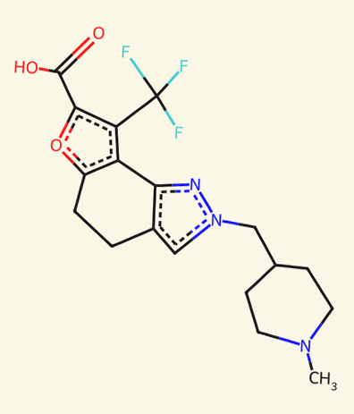 CN1CCC(Cn2cc3c(n2)-c2c(oc(C(=O)O)c2C(F)(F)F)CC3)CC1